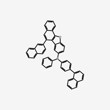 c1ccc(N(c2ccc(-c3cccc4ccccc34)cc2)c2ccc3oc4c5ccccc5cc(-c5ccc6ccccc6c5)c4c3c2)cc1